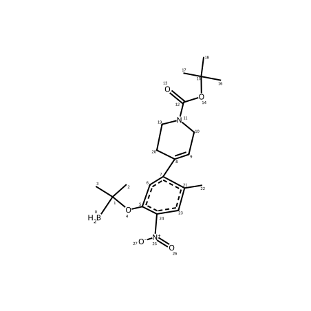 BC(C)(C)Oc1cc(C2=CCN(C(=O)OC(C)(C)C)CC2)c(C)cc1[N+](=O)[O-]